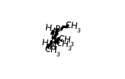 CCCC[BH2-][n+]1ccn([B@H-](CCCC)[N+](C)(C)CC)c1